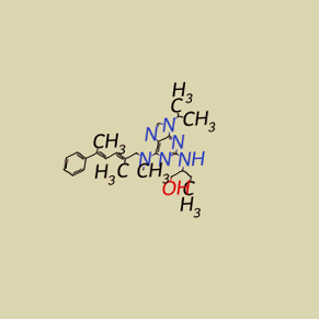 CCC(CO)Nc1nc(N(C)C/C(C)=C/C=C(\C)c2ccccc2)c2ncn(C(C)C)c2n1